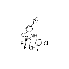 C[C@H]([C@H](C(=O)Nc1cc([C]2COC2)ccc1Cl)c1ccc(Cl)cc1)C(F)(F)F